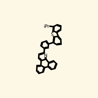 CC(C)c1cccc2c1sc1c(-c3cccc(-c4ccc5c6ccccc6c6ccccc6c5n4)c3)cccc12